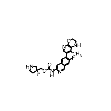 Cc1c(-c2cc3cc(NC(=O)OC[C@]4(F)CCNC4)ncc3cc2F)cnc2c1NCCO2